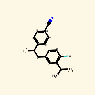 CC(C)c1cc(CC(C)c2ccc(C#N)cc2)ccc1F